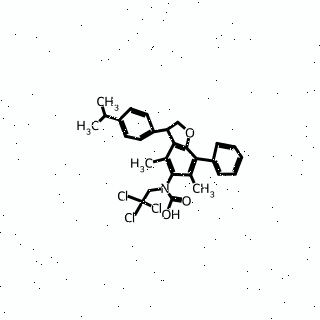 Cc1c(-c2ccccc2)c2c(c(C)c1N(CC(Cl)(Cl)Cl)C(=O)O)C(c1ccc(C(C)C)cc1)CO2